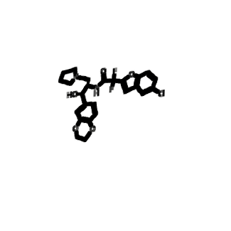 O=C(N[C@H](CN1CCCC1)[C@H](O)c1ccc2c(c1)OCCO2)C(F)(F)c1cc2cc(Cl)ccc2o1